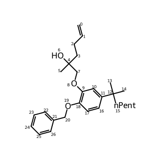 C=CCCC(C)(O)COc1cc(C(C)(C)CCCCC)ccc1OCc1ccccc1